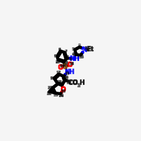 CCN1CC[C@@H](Nc2ccccc2S(=O)(=O)Nc2ccc3c(c2C(=O)O)OCC2CC32)C1